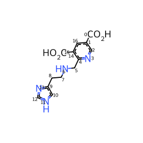 O=C(O)c1cnc(CNCCc2c[nH]cn2)c(C(=O)O)c1